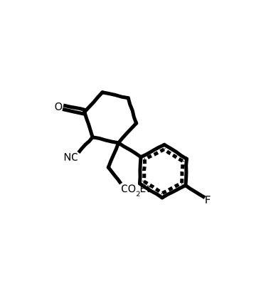 CCOC(=O)CC1(c2ccc(F)cc2)CCCC(=O)C1C#N